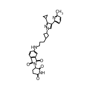 Cc1cccc(-c2cn(C3CC(CCCNc4ccc5c(c4)C(=O)N(C4CCC(=O)NC4=O)C5=O)C3)nc2C2CC2)n1